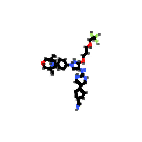 N#Cc1ccc(-c2cnc(Nc3cn(C4CCC(N5[C@@H]6CC[C@H]5COC6)CC4)nc3OCCCOCC(F)(F)F)nc2)cc1